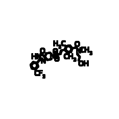 Cc1cc(C(=O)N(C)CCCO)cc(C)c1C=CS(=O)(=O)N1CCC2(CC1)N=C(c1cccc(C(F)(F)F)c1)NC2=O